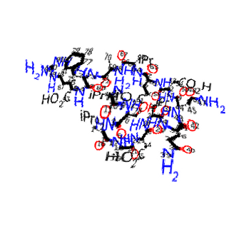 CC(C)C[C@H](NC(=O)[C@H](CO)NC(=O)[C@@H](N)C(C)C)C(=O)N[C@@H](C)C(=O)N[C@@H](CC(=O)O)C(=O)N[C@@H](CC(C)C)C(=O)N[C@@H](CCC(N)=O)C(=O)N[C@@H](CC(N)=O)C(=O)N[C@@H](CC(=O)O)C(=O)N[C@@H](CCC(=O)O)C(=O)N[C@H](C(=O)N[C@@H](C)C(=O)N[C@@H](Cc1ccccc1)C(=O)N[C@@H](CCCNC(=N)N)C(=O)O)C(C)C